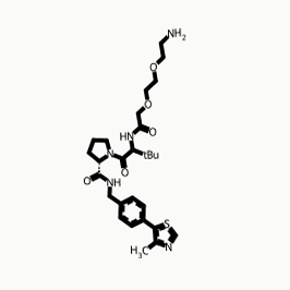 Cc1ncsc1-c1ccc(CNC(=O)[C@@H]2CCCN2C(=O)C(NC(=O)COCCOCCN)C(C)(C)C)cc1